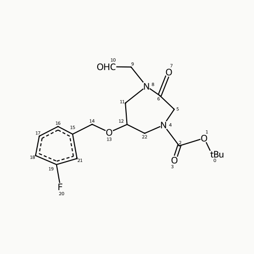 CC(C)(C)OC(=O)N1CC(=O)N(CC=O)CC(OCc2cccc(F)c2)C1